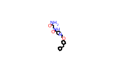 NC(=O)CCNC(=O)C1CCN(CCOc2ccc(Cc3ccccc3)cc2)CC1